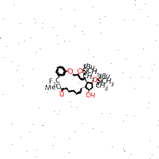 COC(=O)CCC/C=C\C[C@H]1[C@@H](O)CC(O[Si](C)(C)C(C)(C)C)[C@@H]1/C=C/C(COc1cccc(C(F)(F)F)c1)O[Si](C)(C)C(C)(C)C